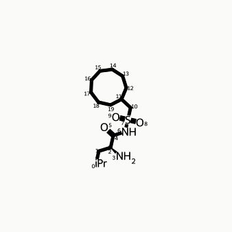 CC(C)C[C@H](N)C(=O)NS(=O)(=O)CC1CCCCCCCC1